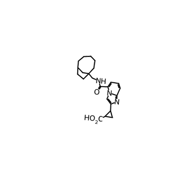 O=C(NCC12CCCCCC(CC1)C2)c1cccc2nc(C3CC3C(=O)O)cn12